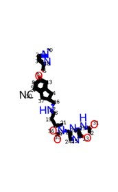 Cn1ccc(COc2cc(C#N)c3c(c2)CC(CNCCC2CN(c4cnc5c(n4)NC(=O)CO5)C(=O)O2)C3)n1